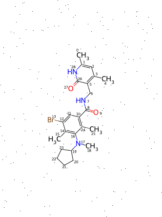 Cc1cc(C)c(CNC(=O)c2cc(Br)c(C)c(N(C)C3CCCC3)c2C)c(=O)[nH]1